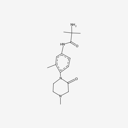 Cc1cc(NC(=O)C(C)(C)N)ccc1N1CCN(C)CC1=O